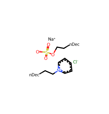 CCCCCCCCCCCCOS(=O)(=O)[O-].CCCCCCCCCCCC[n+]1ccccc1.[Cl-].[Na+]